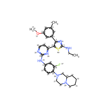 CCNc1nc(-c2cc(C)cc(OC)c2)c(-c2ccnc(Nc3ccc(N4CCN5CCCCC5C4)c(F)c3)n2)s1